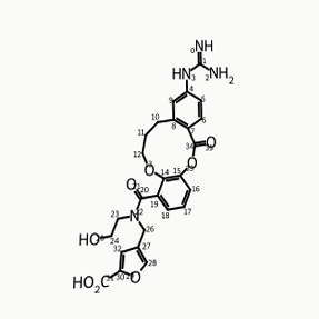 N=C(N)Nc1ccc2c(c1)CCCOc1c(cccc1C(=O)N(CCO)Cc1coc(C(=O)O)c1)OC2=O